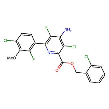 COc1c(Cl)ccc(-c2nc(C(=O)OCc3ccccc3Cl)c(Cl)c(N)c2F)c1F